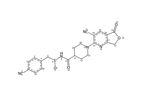 N#Cc1ccc(C[S+]([O-])NC(=O)C2CCN(c3nc4c(cc3C#N)C(=O)OC4)CC2)cc1